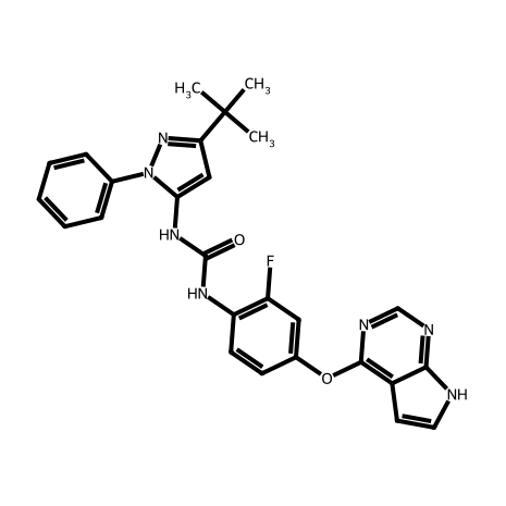 CC(C)(C)c1cc(NC(=O)Nc2ccc(Oc3ncnc4[nH]ccc34)cc2F)n(-c2ccccc2)n1